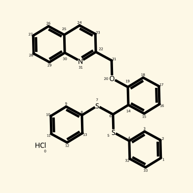 Cl.c1ccc(SC(Sc2ccccc2)c2ccccc2OCc2ccc3ccccc3n2)cc1